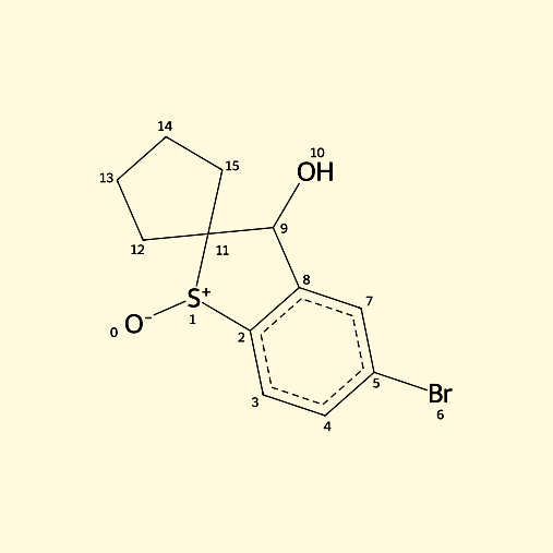 [O-][S+]1c2ccc(Br)cc2C(O)C12CCCC2